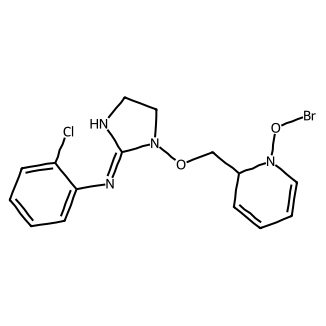 Clc1ccccc1N=C1NCCN1OCC1C=CC=CN1OBr